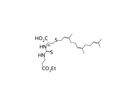 CCOC(=O)CCNC(=S)N[C@@H](CSCC=C(C)CCC=C(C)CCC=C(C)C)C(=O)O